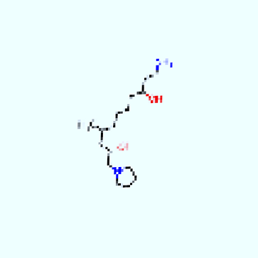 CC(CCCCC(O)CCN)C[C@H](O)CN1CCCC1